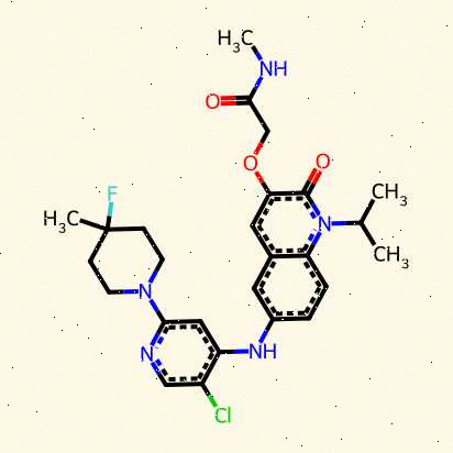 CNC(=O)COc1cc2cc(Nc3cc(N4CCC(C)(F)CC4)ncc3Cl)ccc2n(C(C)C)c1=O